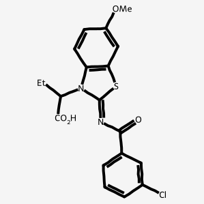 CCC(C(=O)O)n1/c(=N/C(=O)c2cccc(Cl)c2)sc2cc(OC)ccc21